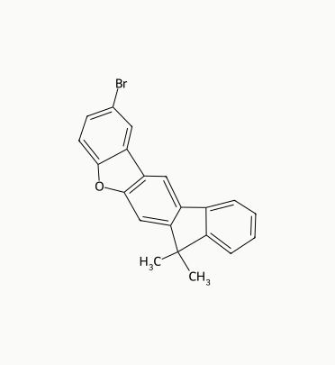 CC1(C)c2ccccc2-c2cc3c(cc21)oc1ccc(Br)cc13